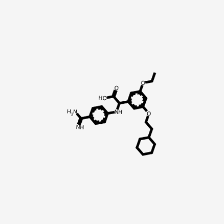 CCOc1cc(OCCC2CCCCC2)cc(C(Nc2ccc(C(=N)N)cc2)C(=O)O)c1